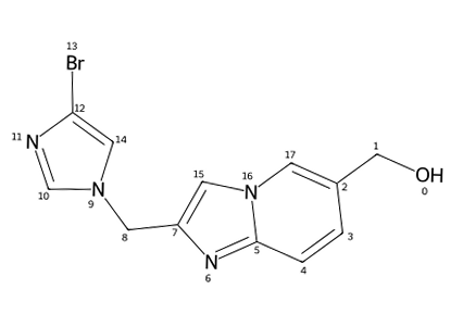 OCc1ccc2nc(Cn3cnc(Br)c3)cn2c1